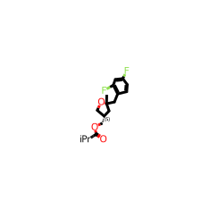 CC(C)C(=O)OC[C@@H]1COC(C)(Cc2ccc(F)cc2F)C1